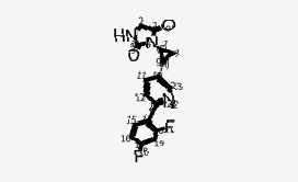 O=C1CNC(=O)N1[C@H]1C[C@@H]1c1ccc(-c2ccc(F)cc2F)nc1